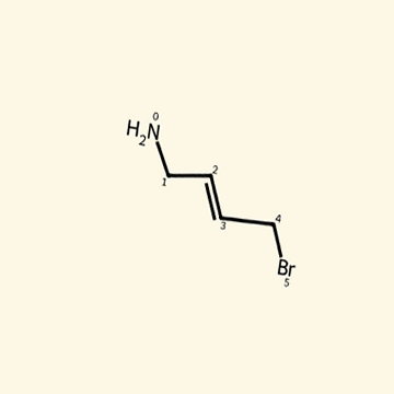 NCC=CCBr